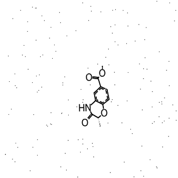 COC(=O)c1ccc2c(c1)NC(=O)[C@@H](C)O2